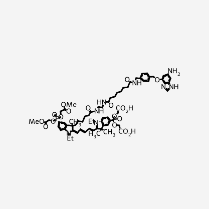 CCN1/C(=C/C=C/C=C/C2=[N+](CC)c3ccc(P(=O)(OCC(=O)O)OCC(=O)O)cc3C2(C)C)C(C)(CCCCCC(=O)NCCNC(=O)CCCCCCC(=O)NCc2ccc(COc3cc(N)cc4[nH]cnc34)cc2)c2cc(P(=O)(OCC(=O)OC)OCC(=O)OC)ccc21